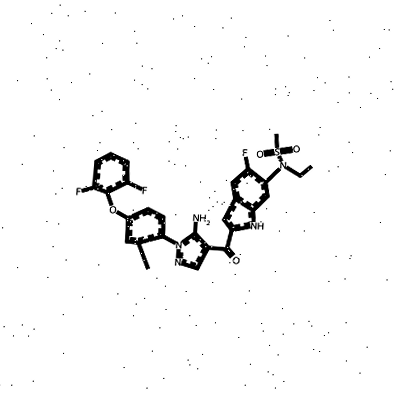 CCN(c1cc2[nH]c(C(=O)c3cnn(-c4ccc(Oc5c(F)cccc5F)cc4C)c3N)cc2cc1F)S(C)(=O)=O